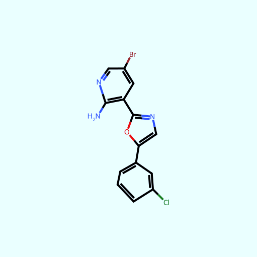 Nc1ncc(Br)cc1-c1ncc(-c2cccc(Cl)c2)o1